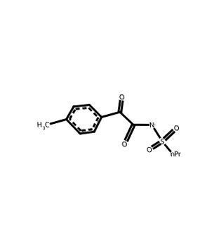 CCCS(=O)(=O)[N]C(=O)C(=O)c1ccc(C)cc1